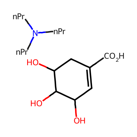 CCCN(CCC)CCC.O=C(O)C1=CC(O)C(O)C(O)C1